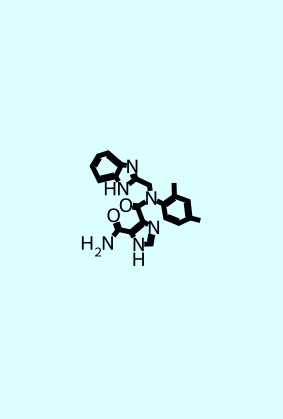 Cc1ccc(N(Cc2nc3ccccc3[nH]2)C(=O)c2nc[nH]c2C(N)=O)c(C)c1